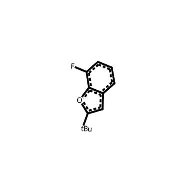 CC(C)(C)c1cc2cccc(F)c2o1